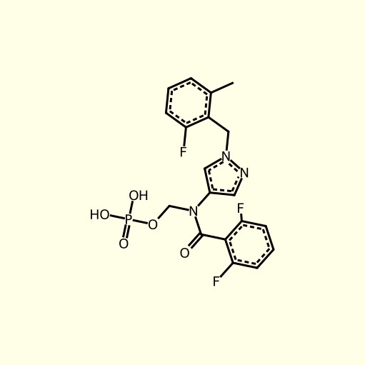 Cc1cccc(F)c1Cn1cc(N(COP(=O)(O)O)C(=O)c2c(F)cccc2F)cn1